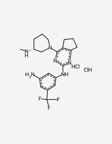 CN[C@@H]1CCCN(c2nc(Nc3cc(N)cc(C(F)(F)F)c3)nc3c2CCC3)C1.Cl.Cl